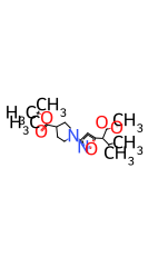 COC(=O)C(c1cc(N2CCC(C(=O)OC(C)(C)C)CC2)no1)C(C)C